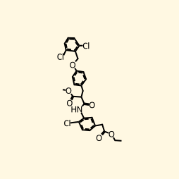 CCOC(=O)Cc1ccc(Cl)c(NC(=O)C(Cc2ccc(OCc3c(Cl)cccc3Cl)cc2)C(=O)OC)c1